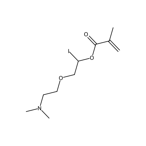 C=C(C)C(=O)OC(I)COCCN(C)C